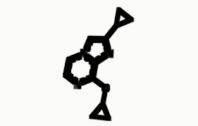 c1cn2cc(C3CC3)nc2c(OC2CC2)n1